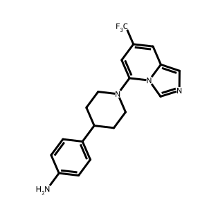 Nc1ccc(C2CCN(c3cc(C(F)(F)F)cc4cncn34)CC2)cc1